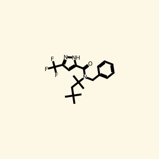 CC(C)(C)CC(C)(C)N(Cc1ccccc1)C(=O)c1cc(C(F)(F)F)n[nH]1